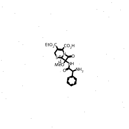 CCOC(=O)C1=C(C(=O)O)N2C(=O)C(NC(=O)C(N)c3ccccc3)(OC)[C@H]2SC1